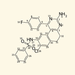 Nc1nc2c(c(-c3ccc(F)cc3)n1)-c1cc(NS(=O)(=O)c3ccccc3)c(Cl)cc1CC2